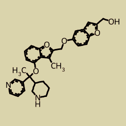 Cc1c(COc2ccc3oc(CO)cc3c2)oc2cccc(OC(C)(c3cccnc3)C3CCCNC3)c12